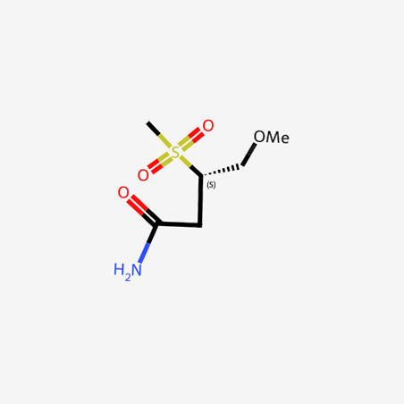 COC[C@H](CC(N)=O)S(C)(=O)=O